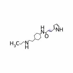 CCCNCCC1CCC(NC(=O)/C=C/c2ccc[nH]2)CC1